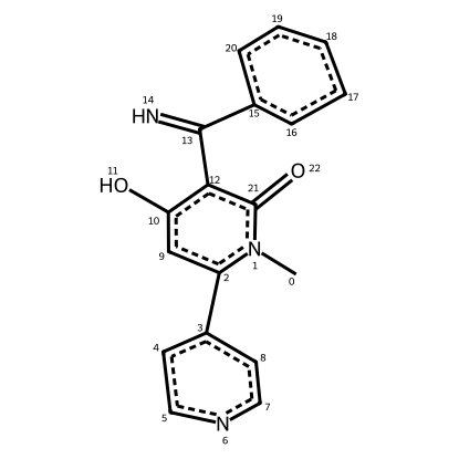 Cn1c(-c2ccncc2)cc(O)c(C(=N)c2ccccc2)c1=O